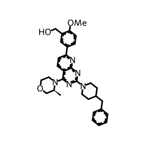 COc1ccc(-c2ccc3c(N4CCOC[C@@H]4C)nc(N4CCC(Cc5ccccc5)CC4)nc3n2)cc1CO